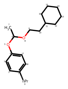 CCCc1ccc(OC(C)OCCC2CCCCC2)cc1